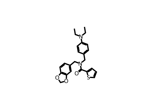 CCN(CC)c1ccc(CN(Cc2ccc3c(c2)OCO3)C(=O)c2cccs2)cc1